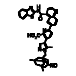 Cc1c(-c2ccc(-c3ccc4nccc(C(=O)Nc5nc6ccccc6s5)c4c3)nc2C(=O)O)cnn1CC12CC3(C)CC(C)(C1)CC(N=O)(C3)C2